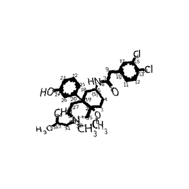 COC12CC[C@H](NC(=O)Cc3ccc(Cl)c(Cl)c3)C[C@@]1(c1cccc(O)c1)CC[N@@+](C)(CC(C)C)C2